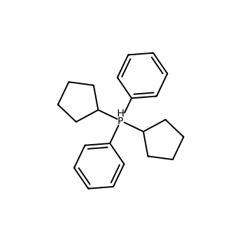 c1ccc([PH](c2ccccc2)(C2CCCC2)C2CCCC2)cc1